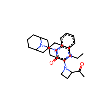 CCC1CC2CC(C1)CC(N1C3CCCC1CC(n1c(=O)c(N4CCC4C(C)=O)nc4ccccc41)C3)C2